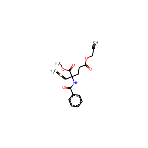 C#CCOC(=O)CCC(C=C=C)(NC(=O)c1ccccc1)C(=O)OC